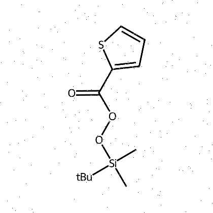 CC(C)(C)[Si](C)(C)OOC(=O)c1cccs1